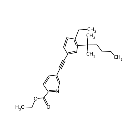 CCCCC(C)(C)c1cc(C#Cc2ccc(C(=O)OCC)nc2)ccc1CC